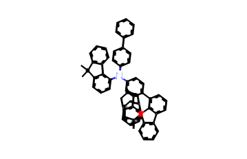 CC1CC2CC(C)C3(c4ccccc4-c4cccc(-c5ccc(N(c6ccc(-c7ccccc7)cc6)c6cccc7c6-c6ccccc6C7(C)C)cc5-c5ccccc5)c43)C(C1)C2